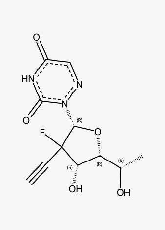 C#CC1(F)[C@@H](O)[C@@H]([C@H](C)O)O[C@H]1n1ncc(=O)[nH]c1=O